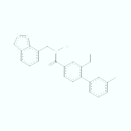 CN(Cc1cccc2cn[nH]c12)C(=O)c1ccc(-c2cccc(F)c2)c(CF)c1